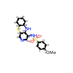 COc1ccc(S(=O)(=O)Nc2cncc3c2Nc2ccccc2S3)cc1